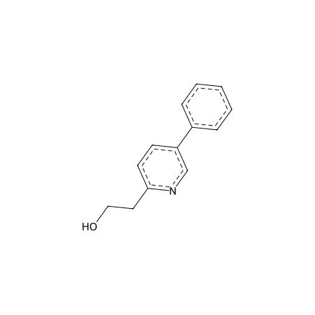 OCCc1ccc(-c2ccccc2)cn1